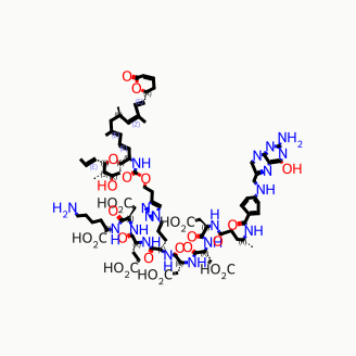 C/C=C/[C@@H]1O[C@H]([C@@H](/C=C/C=C(\C)C[C@@H](C)/C=C(C)\C=C\[C@H]2CC=CC(=O)O2)NC(=O)OCCc2cn(CCC[C@H](NC(=O)[C@@H](CC(=O)O)NC(=O)[C@@H](CC(=O)O)NC(=O)[C@@H](CC(=O)O)NC(=O)CC[C@@H](C)NC(=O)c3ccc(NCc4cnc5nc(N)nc(O)c5n4)cc3)C(=O)N[C@H](CCC(=O)O)C(=O)N[C@H](CC(=O)O)C(=O)N[C@H](CCCCN)C(=O)O)nn2)C[C@@H](O)[C@@H]1C